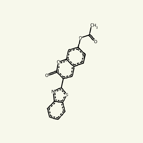 CC(=O)Oc1ccc2cc(-c3nc4ccccc4s3)c(=O)oc2c1